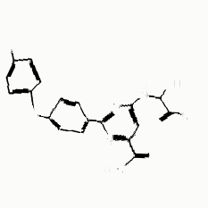 CC(Nc1cc(C(N)=O)nc(-c2ccc(Oc3ccc(OC(F)(F)F)cc3)cc2)n1)C(N)=O